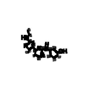 CCNc1nc(C)c(-c2ccnc(Nc3cccc(O)c3)n2)s1